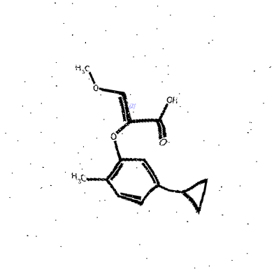 CO/C=C(\Oc1cc(C2CC2)ccc1C)C(=O)O